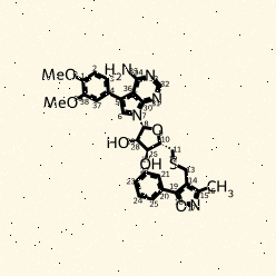 COc1ccc(-c2cn([C@@H]3O[C@H](CSCc4c(C)noc4-c4ccccc4)[C@@H](O)[C@H]3O)c3ncnc(N)c23)cc1OC